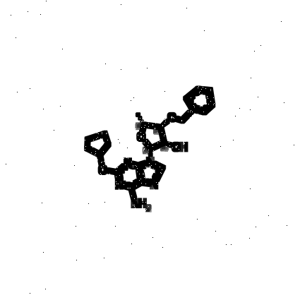 C[C@H]1O[C@@H](n2cnc3c(N)nc(OC4CCCC4)nc32)[C@H](O)[C@@H]1OCc1ccccc1